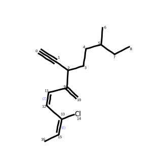 C#CC(CCC(C)CC)C(=C)/C=C\C(Cl)=C/C